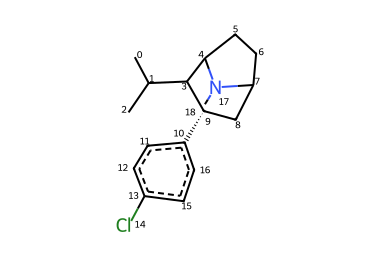 CC(C)C1C2CCC(C[C@@H]1c1ccc(Cl)cc1)N2C